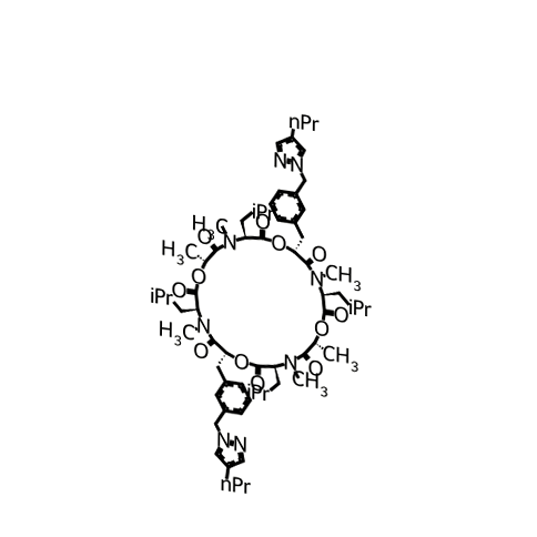 CCCc1cnn(Cc2cccc(C[C@H]3OC(=O)[C@H](CC(C)C)N(C)C(=O)[C@@H](C)OC(=O)[C@H](CC(C)C)N(C)C(=O)[C@@H](Cc4cccc(Cn5cc(CCC)cn5)c4)OC(=O)[C@H](CC(C)C)N(C)C(=O)[C@@H](C)OC(=O)[C@H](CC(C)C)N(C)C3=O)c2)c1